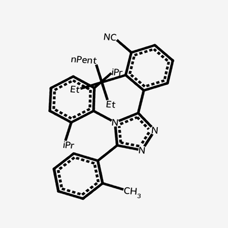 CCCCCC(CC)(CC)c1c(C#N)cccc1-c1nnc(-c2ccccc2C)n1-c1c(C(C)C)cccc1C(C)C